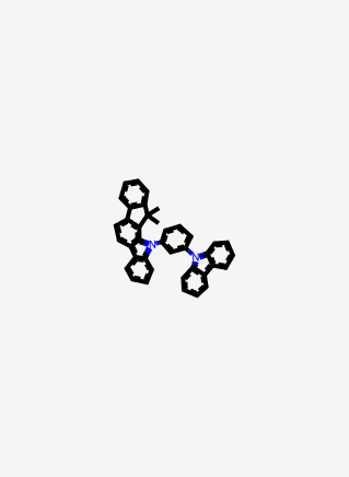 CC1(C)c2ccccc2-c2ccc3c4ccccc4n(-c4cccc(-n5c6ccccc6c6ccccc65)c4)c3c21